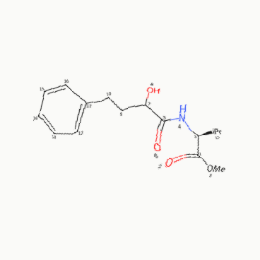 COC(=O)[C@@H](NC(=O)C(O)CCc1ccccc1)C(C)C